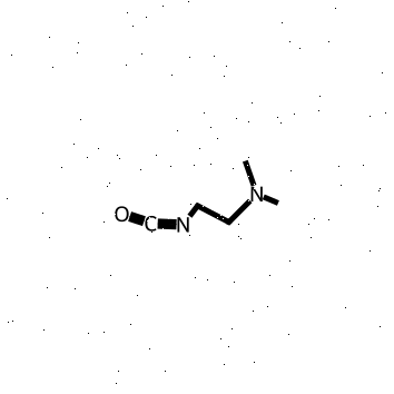 CN(C)CCN=C=O